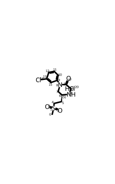 CS(=O)(=O)CC[C@H]1CN(c2cccc(Cl)c2)C(=O)CN1.Cl